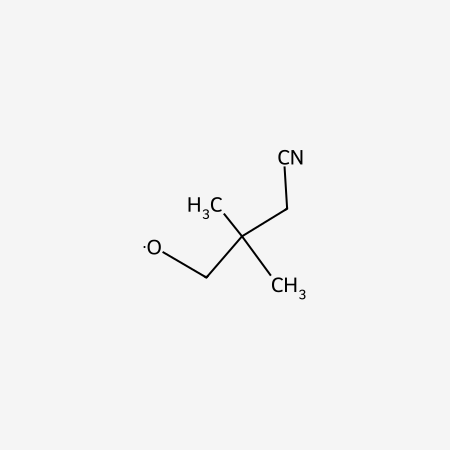 CC(C)(C[O])CC#N